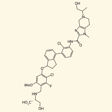 COc1cc(OC2CCc3c(-c4cccc(NC(=O)c5nc6c(n5C)CCN(C(C)CO)C6)c4Cl)cccc32)c(Cl)c(F)c1CN[C@H](CO)C(=O)O